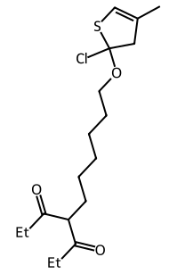 CCC(=O)C(CCCCCCOC1(Cl)CC(C)=CS1)C(=O)CC